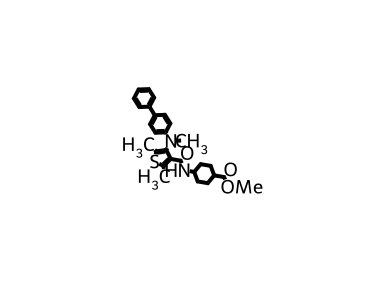 COC(=O)C1CCC(NC(=O)c2c(C)sc(C)c2N(C)c2ccc(-c3ccccc3)cc2)CC1